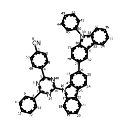 N#Cc1ccc(-c2nc(-c3ccccc3)nc(-n3c4ccccc4c4ccc(-c5ccc6c(c5)c5ccccc5n6-c5ccccc5)cc43)n2)cc1